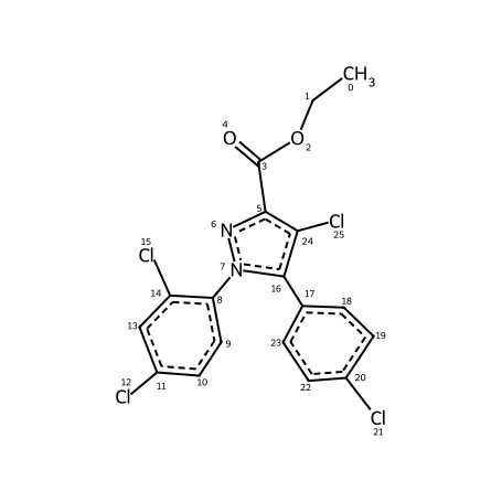 CCOC(=O)c1nn(-c2ccc(Cl)cc2Cl)c(-c2ccc(Cl)cc2)c1Cl